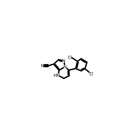 N#Cc1cnn2c1NCC=C2c1cc(Cl)ccc1Cl